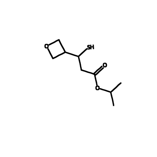 CC(C)OC(=O)CC(S)C1COC1